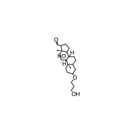 C[C@]12CCC(OCCCO)CC1CC[C@@H]1[C@H]2CC[C@]2(C)C(C=O)CC[C@@]12O